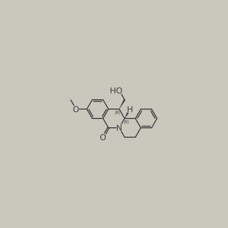 COc1ccc2c(c1)C(=O)N1CCc3ccccc3[C@H]1[C@@H]2CO